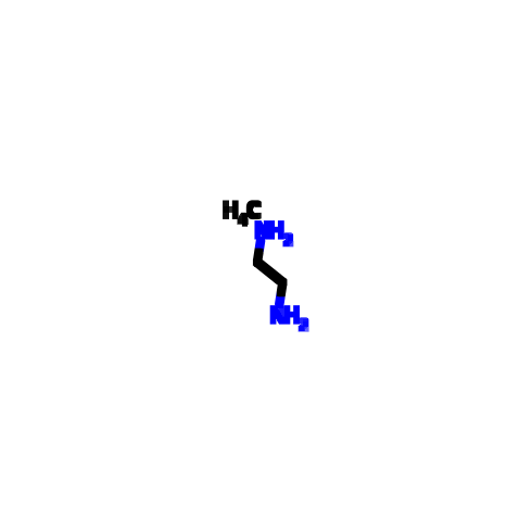 C.NCCN